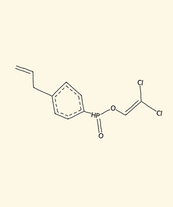 C=CCc1ccc([PH](=O)OC=C(Cl)Cl)cc1